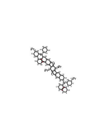 CC(C)c1ccc(-c2ccccc2)c(N(c2ccccc2)c2ccc3cc4c(cc3c2)oc2c(C(C)C)c3c(oc5cc6cc(N(c7ccccc7)c7cc(C(C)C)ccc7-c7ccccc7)ccc6cc53)c(C(C)C)c24)c1